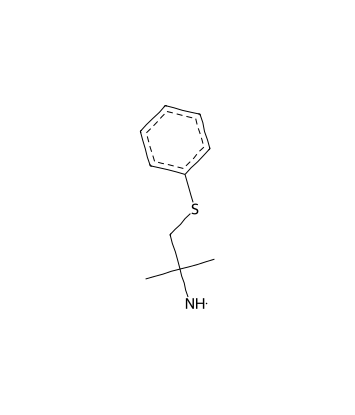 CC(C)([NH])CSc1ccccc1